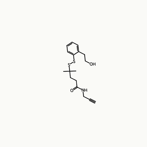 C#CCNC(=O)CCC(C)(C)SSc1ccccc1CCO